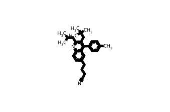 Cc1ccc(-c2c(CC(C)(C)C)c(CC(C)C)nc3ccc(CCCC#N)cc23)cc1